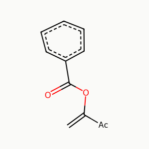 C=C(OC(=O)c1ccccc1)C(C)=O